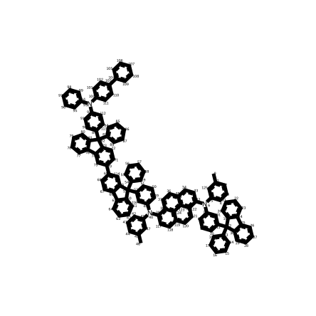 Cc1cccc(N(c2cccc(C3(c4ccccc4)c4ccccc4-c4ccccc43)c2)c2ccc3ccc4c(N(c5cccc(C)c5)c5cccc(C6(c7ccccc7)c7ccccc7-c7ccc(-c8ccc9c(c8)-c8ccccc8C9(c8ccccc8)c8ccc(N(c9ccccc9)c9ccc(-c%10ccccc%10)cc9)cc8)cc76)c5)ccc5ccc2c3c54)c1